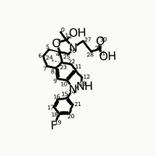 CC1(O)O[C@]2(CCCC3=CC4=C(CNN4c4ccc(F)cc4)C[C@@]32C)CN1CCC(=O)O